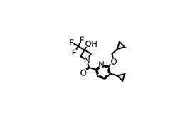 O=C(c1ccc(C2CC2)c(OCC2CC2)n1)N1CC(O)(C(F)(F)F)C1